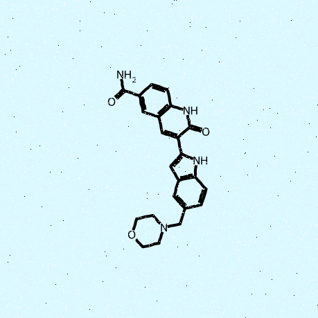 NC(=O)c1ccc2[nH]c(=O)c(-c3cc4cc(CN5CCOCC5)ccc4[nH]3)cc2c1